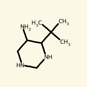 CC(C)(C)C1NCNCC1N